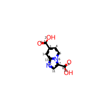 O=C(O)c1ccn2c(C(=O)O)cnc2c1